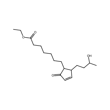 CCOC(=O)CCCCCCC1C(=O)C=CC1CCC(C)O